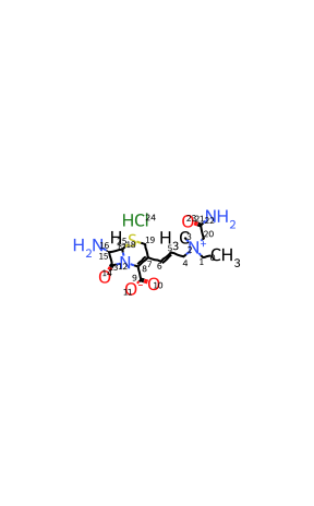 CC[N+](C)(C/C=C/C1=C(C(=O)[O-])N2C(=O)[C@@H](N)[C@H]2SC1)CC(N)=O.Cl